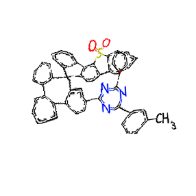 Cc1cccc(-c2nc(-c3ccccc3)nc(-c3ccc4c(c3)C3(c5ccccc5-c5ccccc5-4)c4ccccc4-c4c3ccc3c4S(=O)(=O)c4ccccc4-3)n2)c1